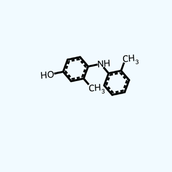 Cc1ccccc1Nc1ccc(O)cc1C